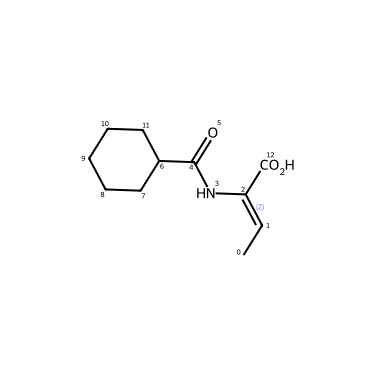 C/C=C(\NC(=O)C1CCCCC1)C(=O)O